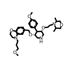 COCCCN1CCOc2ccc(CO[C@H]3CNC[C@@H](OCCN4C(C)COCC4C)C3c3ccc(OC)cc3)cc21